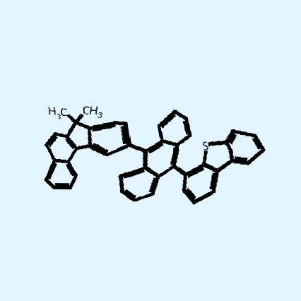 CC1(C)c2ccc(-c3c4ccccc4c(-c4cccc5c4sc4ccccc45)c4ccccc34)cc2-c2c1ccc1ccccc21